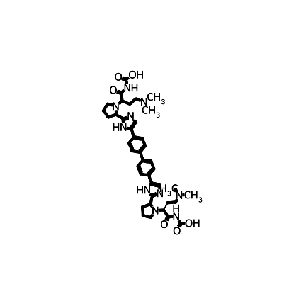 CN(C)CCC(C(=O)NC(=O)O)N1CCCC1c1ncc(-c2ccc(-c3ccc(-c4cnc(C5CCCN5[C@@H](CCN(C)C)C(=O)NC(=O)O)[nH]4)cc3)cc2)[nH]1